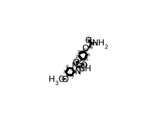 COc1ccc2c(c1)=NC(S)(S(=O)(=O)c1ccc(OCC(N)=O)cc1)N=2